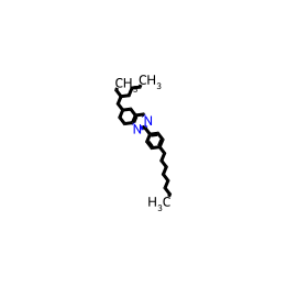 CCCCCCCCc1ccc(-c2ncc3c(n2)CCC(CC(CC)CCCC)C3)cc1